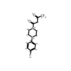 O=C(CC(=O)C(F)(F)F)N1CCN(c2ccc(F)cc2)CC1